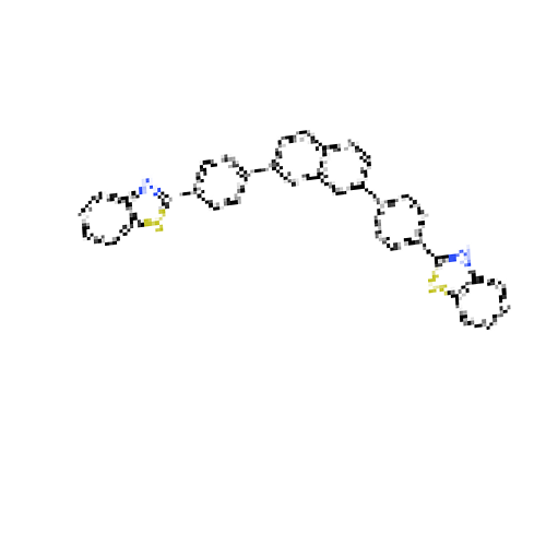 c1ccc2sc(-c3ccc(-c4ccc5ccc(-c6ccc(-c7nc8ccccc8s7)cc6)cc5c4)cc3)nc2c1